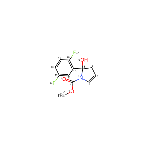 CC(C)(C)OC(=O)N1C=CCC1(O)c1cc(F)ccc1F